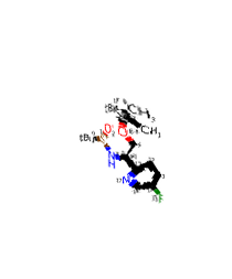 CC(C)(C)[S+]([O-])N[C@@H](CO[Si](C)(C)C(C)(C)C)c1ccc(F)cn1